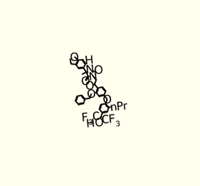 CCCc1cc(C(O)(C(F)(F)F)C(F)(F)F)ccc1Oc1ccc(C(=O)CN2C(=O)NC(C)(c3ccc4c(c3)CCO4)C2=O)c(OCc2ccccc2)c1